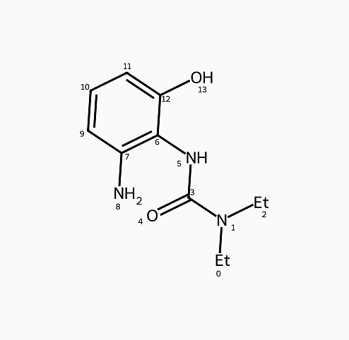 CCN(CC)C(=O)Nc1c(N)cccc1O